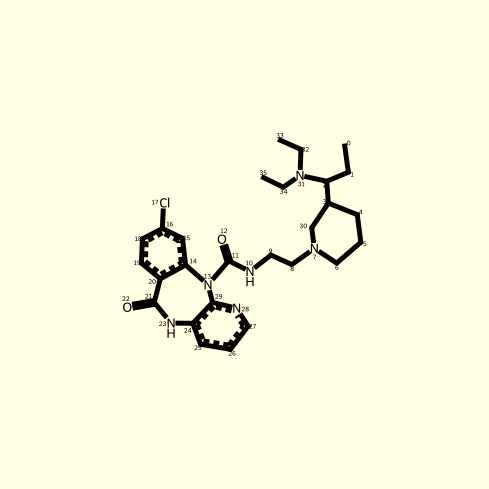 CCC(C1CCCN(CCNC(=O)N2c3cc(Cl)ccc3C(=O)Nc3cccnc32)C1)N(CC)CC